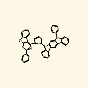 c1ccc(-c2nc(-c3cccc(-n4c5ccccc5c5cc6c7ccccc7n(-c7ccccc7)c6cc54)c3)c3c(n2)oc2ccccc23)cc1